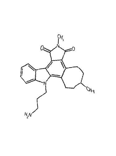 CN1C(=O)c2c3c(c4c(c2C1=O)c1ccccc1n4CCCN)CCC(O)CC3